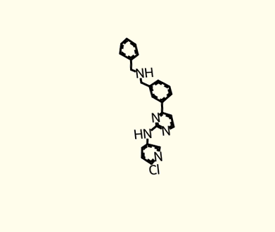 Clc1ccc(Nc2nccc(-c3cccc(CNCc4ccccc4)c3)n2)cn1